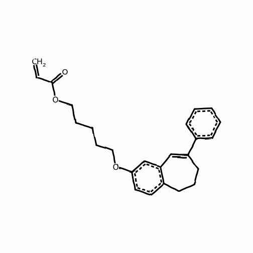 C=CC(=O)OCCCCCOc1ccc2c(c1)C=C(c1ccccc1)CCC2